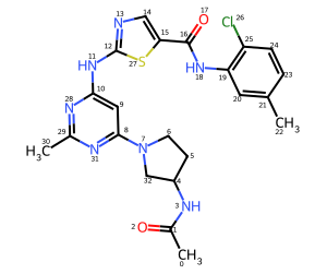 CC(=O)NC1CCN(c2cc(Nc3ncc(C(=O)Nc4cc(C)ccc4Cl)s3)nc(C)n2)C1